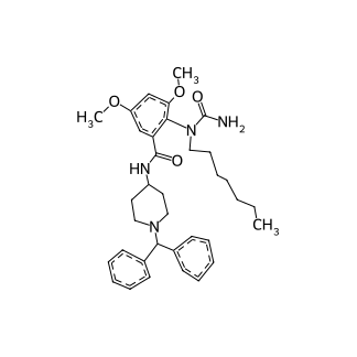 CCCCCCCN(C(N)=O)c1c(OC)cc(OC)cc1C(=O)NC1CCN(C(c2ccccc2)c2ccccc2)CC1